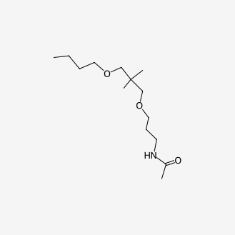 CCCCOCC(C)(C)COCCCNC(C)=O